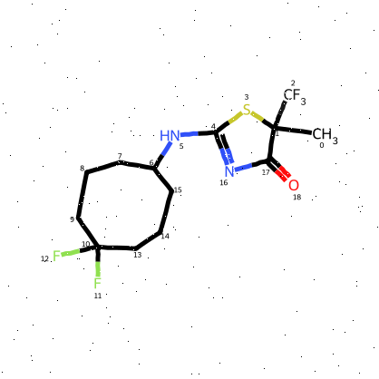 CC1(C(F)(F)F)SC(NC2CCCC(F)(F)CCC2)=NC1=O